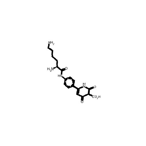 NCCCC[C@H](N)C(=O)Nc1ccc(C2=CC(=O)C(C(=O)O)C(=O)N2)cc1